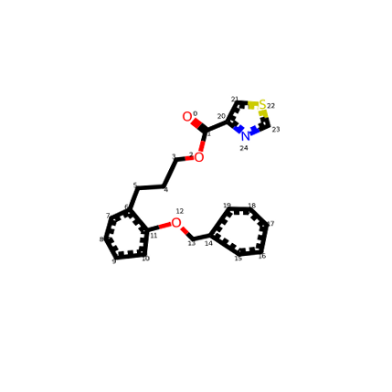 O=C(OCCCc1ccccc1OCc1ccccc1)c1cscn1